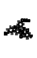 COc1ccc(C2c3[nH]c4ccc(Br)cc4c3CC3C(=O)N(c4ccc(F)cc4Cl)C(=S)N32)cc1